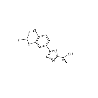 C[C@H](O)c1cn(-c2ccc(Cl)c(OC(F)F)c2)nn1